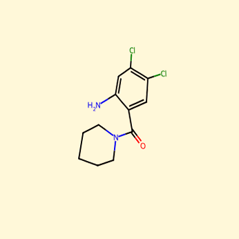 Nc1cc(Cl)c(Cl)cc1C(=O)N1CCCCC1